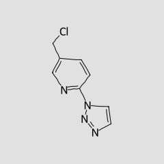 ClCc1ccc(-n2ccnn2)nc1